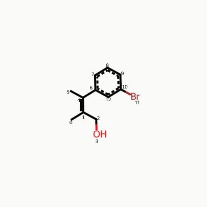 CC(CO)=C(C)c1cccc(Br)c1